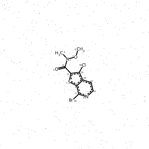 CON(C)C(=O)c1sc2c(Br)nccc2c1Cl